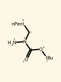 CCCCCCN(N)C(=O)OC(C)(C)C